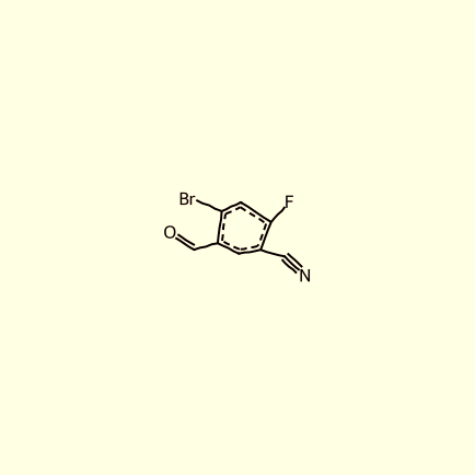 N#Cc1cc(C=O)c(Br)cc1F